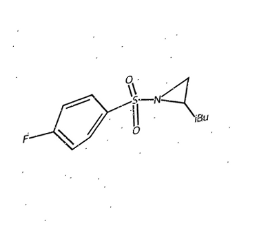 CCC(C)C1CN1S(=O)(=O)c1ccc(F)cc1